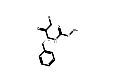 CC(C)(C)OC(=O)N[C@H](Cc1ccccc1)C(=O)CBr